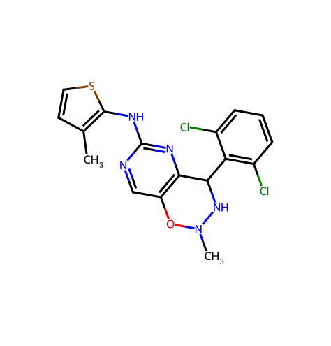 Cc1ccsc1Nc1ncc2c(n1)C(c1c(Cl)cccc1Cl)NN(C)O2